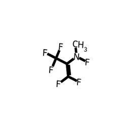 CN(F)C(=C(F)F)C(F)(F)F